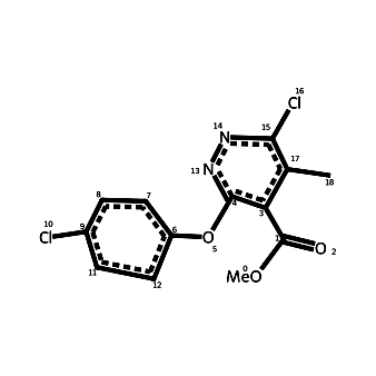 COC(=O)c1c(Oc2ccc(Cl)cc2)nnc(Cl)c1C